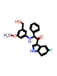 COc1cc(CO)cc(NC(C(=O)c2c[nH]c3ccc(F)cc23)c2ccccc2)c1